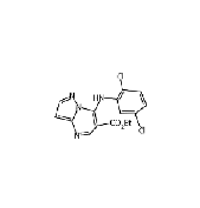 CCOC(=O)c1cnc2ccnn2c1Nc1cc(Cl)ccc1Cl